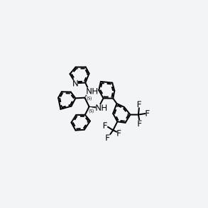 FC(F)(F)c1cc(-c2ccccc2N[C@@H](c2ccccc2)[C@@H](Nc2ccccn2)c2ccccc2)cc(C(F)(F)F)c1